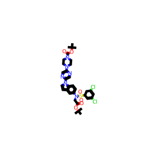 CC(C)(C)OC(=O)CN(c1ccc2c(ccn2-c2cnc(N3CCN(C(=O)OC(C)(C)C)CC3)cn2)c1)S(=O)(=O)C1C=C(Cl)C=C(Cl)C1